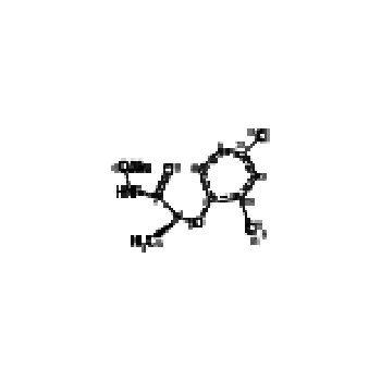 CONC(=O)[C@H](C)Oc1ccc(Cl)cc1C(F)(F)F